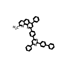 Cc1ccc2ccc3c(-c4ccccc4)cc(-c4ccc(-c5cc(-c6ccccc6)nc(-c6ccc(-c7ccccc7)cc6)n5)cc4)nc3c2n1